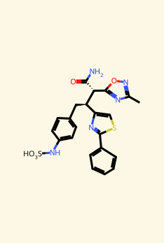 Cc1noc([C@@H](C(N)=O)[C@H](Cc2ccc(NS(=O)(=O)O)cc2)c2csc(-c3ccccc3)n2)n1